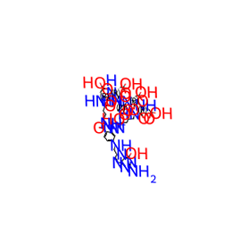 [N-]=[N+]=NCCCCNC(=O)[C@@H](CC(=O)O)NC(=O)[C@@H](CC(=O)O)NC(=O)[C@@H](CC(=O)O)NC(=O)[C@@H](CC(=O)O)NC(=O)[C@@H](CC(=O)O)NC(=O)CCCNC(=O)c1ccc(NCc2cnc3nc(N)nc(O)c3n2)cc1